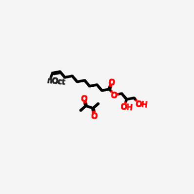 CC(=O)C(C)=O.CCCCCCCC/C=C\CCCCCCCC(=O)OCC(O)CO